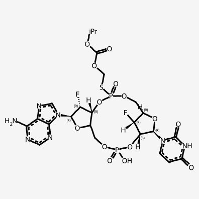 CC(C)OC(=O)OCSP1(=O)OC[C@H]2O[C@@H](n3ccc(=O)[nH]c3=O)[C@H](OP(=O)(O)OCC3O[C@@H](n4cnc5c(N)ncnc54)[C@H](F)[C@@H]3O1)[C@@H]2F